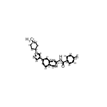 CN1CCC(n2cc(-c3ccc4cnc(NC(=O)c5ccc(F)cc5)nc4c3)cn2)CC1